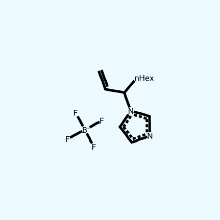 C=CC(CCCCCC)n1ccnc1.F[B-](F)(F)F